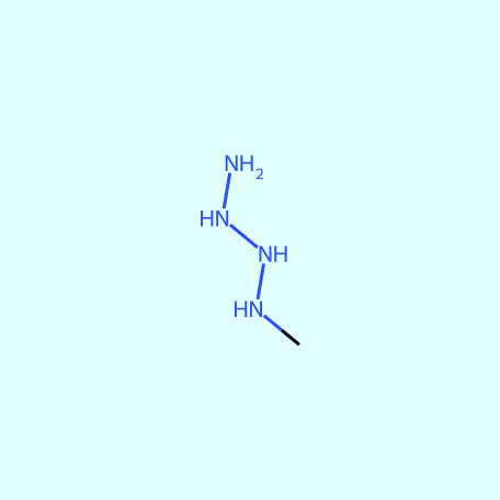 CNNNN